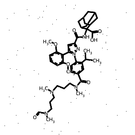 COc1cccc(OC)c1-c1cc(C(=O)NC2(C(=O)O)C3CC4CC(C3)CC2C4)nn1-c1ccc(C(=O)N(C)CCCN(C)CCCN(C)C=O)cc1C(C)C